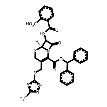 Cc1nnc(SCC2=C(C(=O)OC(c3ccccc3)c3ccccc3)N3C(=O)C(NC(=O)c4ccccc4C(=O)O)[C@@H]3SC2)s1